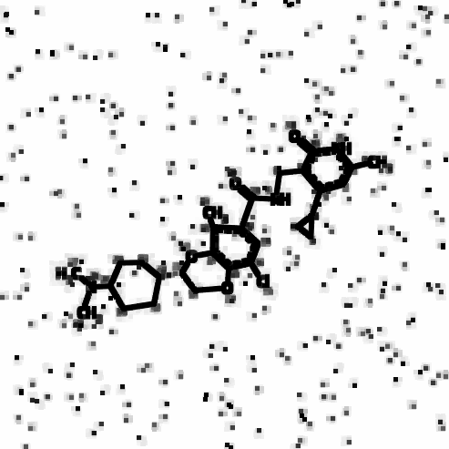 Cc1cc(C2CC2)c(CNC(=O)c2cc(Cl)c3c(c2C)O[C@@H](C2CCC(N(C)C)CC2)CO3)c(=O)[nH]1